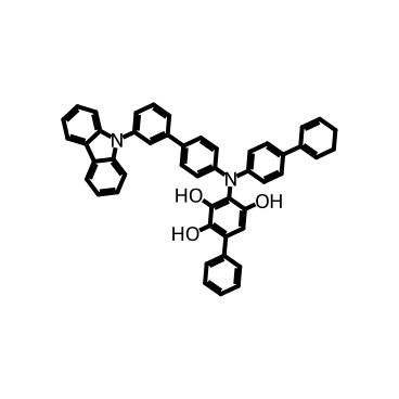 Oc1cc(-c2ccccc2)c(O)c(O)c1N(c1ccc(C2=CCCC=C2)cc1)c1ccc(-c2cccc(-n3c4ccccc4c4ccccc43)c2)cc1